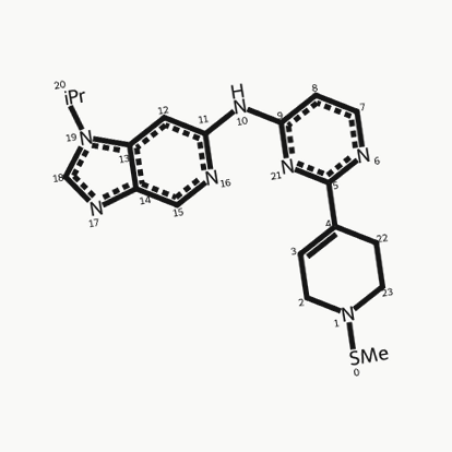 CSN1CC=C(c2nccc(Nc3cc4c(cn3)ncn4C(C)C)n2)CC1